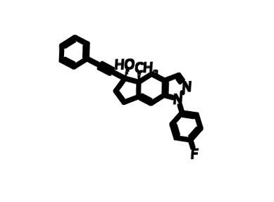 C[C@]12Cc3cnn(-c4ccc(F)cc4)c3C=C1CC[C@@]2(O)C#Cc1ccccc1